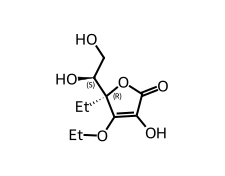 CCOC1=C(O)C(=O)O[C@]1(CC)[C@@H](O)CO